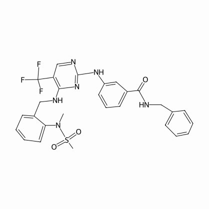 CN(c1ccccc1CNc1nc(Nc2cccc(C(=O)NCc3ccccc3)c2)ncc1C(F)(F)F)S(C)(=O)=O